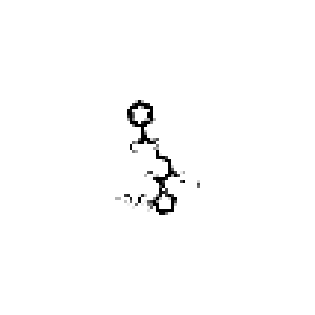 CC(CCSC(=O)c1ccccc1)C(=O)N1CCC[C@H]1C(=O)O